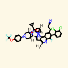 Cc1nc2c(F)c(-c3cccc(Cl)c3Cl)c(CCC#N)cc2c2c1cc([C@H]1[C@H]3C[C@H](CN(c4ccc(OC(F)(F)F)cc4)C3)N1C(=O)C1CC1)n2[C@H]1[C@H]2CN[C@@H]1C2